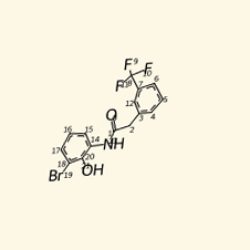 O=C(Cc1cccc(C(F)(F)F)c1)Nc1cccc(Br)c1O